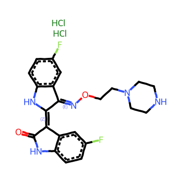 Cl.Cl.O=C1Nc2ccc(F)cc2/C1=C1/Nc2ccc(F)cc2/C1=N\OCCN1CCNCC1